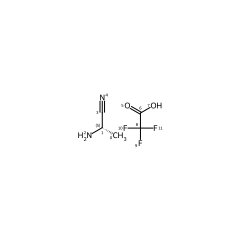 C[C@H](N)C#N.O=C(O)C(F)(F)F